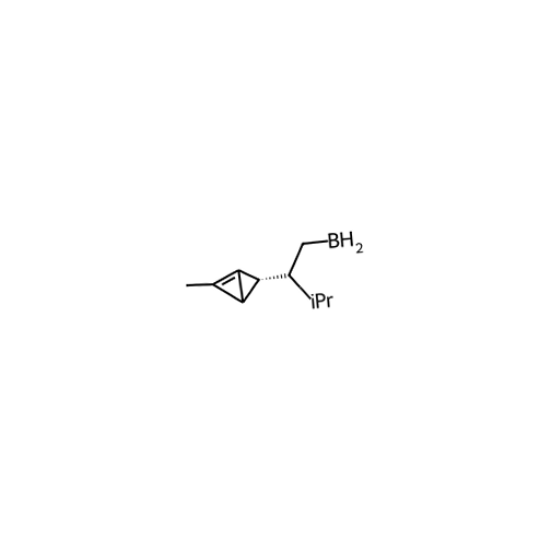 BCC(C(C)C)[C@H]1C2=C(C)C21